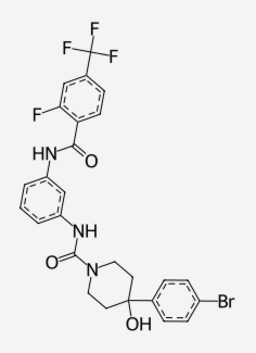 O=C(Nc1cccc(NC(=O)N2CCC(O)(c3ccc(Br)cc3)CC2)c1)c1ccc(C(F)(F)F)cc1F